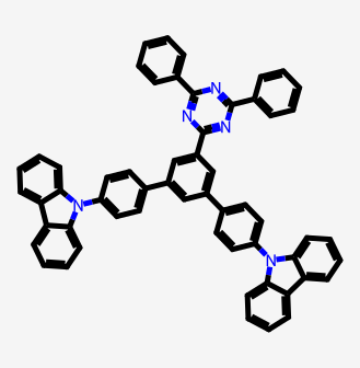 c1ccc(-c2nc(-c3ccccc3)nc(-c3cc(-c4ccc(-n5c6ccccc6c6ccccc65)cc4)cc(-c4ccc(-n5c6ccccc6c6ccccc65)cc4)c3)n2)cc1